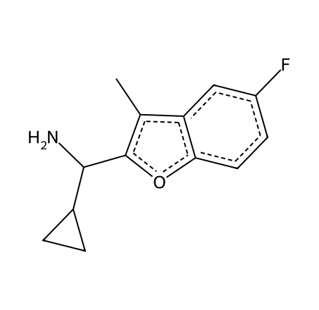 Cc1c(C(N)C2CC2)oc2ccc(F)cc12